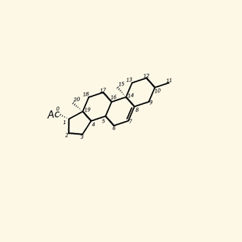 CC(=O)[C@H]1CCC2C3CC=C4CC(C)CC[C@]4(C)C3CC[C@@]21C